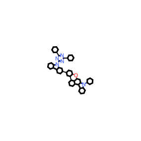 c1ccc(-c2nc(-c3ccccc3)nc(-n3c4ccccc4c4ccc(-c5ccc6c(c5)-c5cccc7c5c(cc5c7c7ccccc7n5-c5ccccc5)O6)cc43)n2)cc1